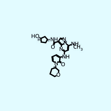 CNc1cc(Nc2cccn([C@@H]3CCCOC3)c2=O)nc2c(C(=O)N[C@@H]3CC[C@@H](O)C3)cnn12